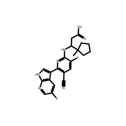 CC1(C(CC(=O)O)Nc2nc(-c3c[nH]c4ncc(F)cc34)c(C#N)cc2F)CCCC1